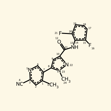 Cc1cc(C#N)ncc1-c1cc(C(=O)Nc2c(F)cccc2F)nn1C